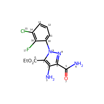 CCOC(=O)c1c(N)c(C(N)=O)nn1-c1cccc(Cl)c1F